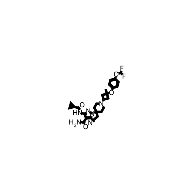 CC1(Oc2ccc(OC(F)F)cc2)CC(N2CCC(CC#N)(n3cc(C(N)=O)c(NC(=O)C4CC4)n3)CC2)C1